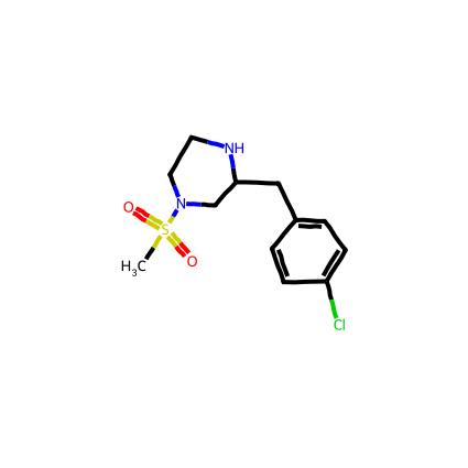 CS(=O)(=O)N1CCNC(Cc2ccc(Cl)cc2)C1